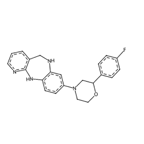 Fc1ccc(C2CN(c3ccc4c(c3)NCc3cccnc3N4)CCO2)cc1